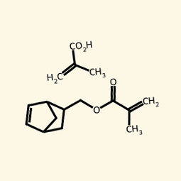 C=C(C)C(=O)O.C=C(C)C(=O)OCC1CC2C=CC1C2